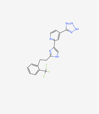 FC(F)(F)c1ccccc1CCc1nc(-c2cc(-c3nn[nH]n3)ccn2)c[nH]1